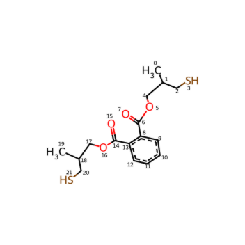 CC(CS)COC(=O)c1ccccc1C(=O)OCC(C)CS